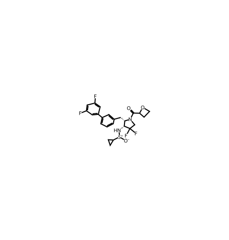 O=C(C1CCO1)N1CC(F)(F)[C@H](N[S+]([O-])C2CC2)[C@@H]1Cc1cccc(-c2cc(F)cc(F)c2)c1